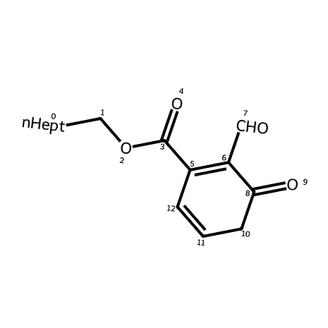 CCCCCCCCOC(=O)C1=C(C=O)C(=O)CC=C1